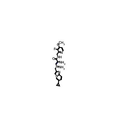 COc1ccnc(CNC(=O)/C(N)=C/N(N)Cc2cn3cc(C4CC4)ccc3n2)c1F